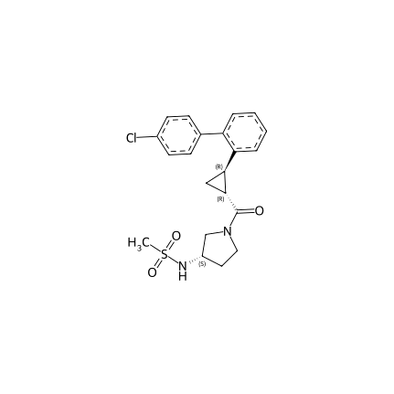 CS(=O)(=O)N[C@H]1CCN(C(=O)[C@@H]2C[C@H]2c2ccccc2-c2ccc(Cl)cc2)C1